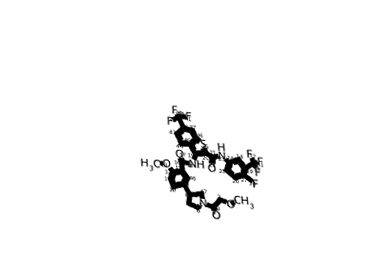 COCC(=O)N1CCC(c2ccc(OC)c(C(=O)Nc3c(C(=O)Nc4ccc(F)c(C(F)(F)F)c4)sc4cc(C(F)(F)F)ccc34)c2)C1